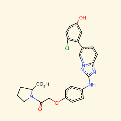 O=C(O)C1CCCN1C(=O)COc1ccc(Nc2nc3ccc(-c4cc(O)ccc4Cl)cn3n2)cc1